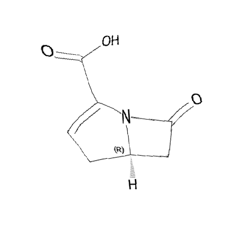 O=C(O)C1=CC[C@@H]2CC(=O)N12